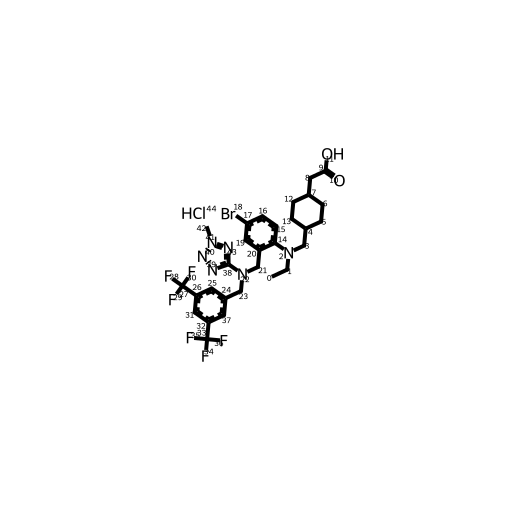 CCN(CC1CCC(CC(=O)O)CC1)c1ccc(Br)cc1CN(Cc1cc(C(F)(F)F)cc(C(F)(F)F)c1)c1nnn(C)n1.Cl